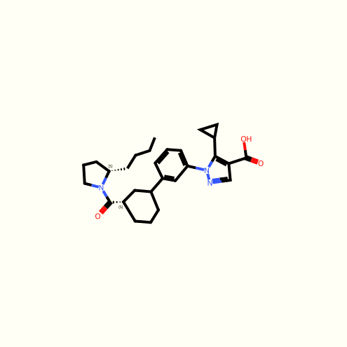 CCCC[C@H]1CCCN1C(=O)[C@H]1CCCC(c2cccc(-n3ncc(C(=O)O)c3C3CC3)c2)C1